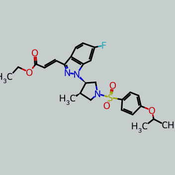 CCOC(=O)/C=C/c1nn([C@H]2CN(S(=O)(=O)c3ccc(OC(C)C)cc3)C[C@H]2C)c2cc(F)ccc12